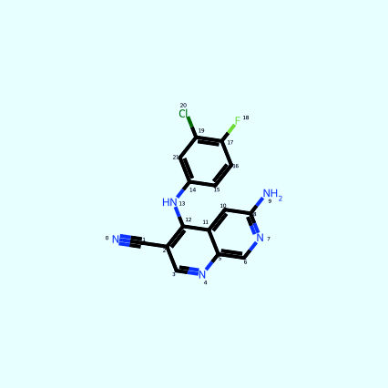 N#Cc1cnc2cnc(N)cc2c1Nc1ccc(F)c(Cl)c1